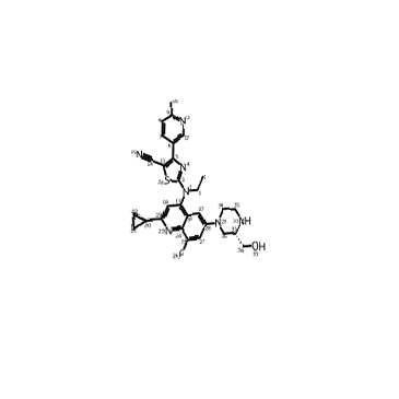 CCN(c1nc(-c2ccc(C)nc2)c(C#N)s1)c1cc(C2CC2)nc2c(F)cc(N3CCN[C@H](CO)C3)cc12